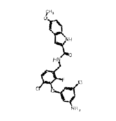 COc1ccc2[nH]c(C(=O)NCc3ccc(Cl)c(Oc4cc(N)cc(Cl)c4)c3F)cc2c1